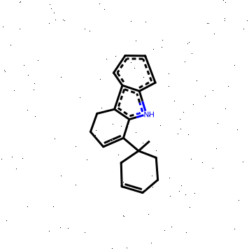 CC1(C2=CCCc3c2[nH]c2ccccc32)CC=CCC1